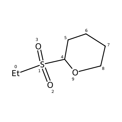 CCS(=O)(=O)C1CCCCO1